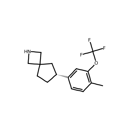 Cc1ccc([C@@H]2CCC3(CNC3)C2)cc1OC(F)(F)F